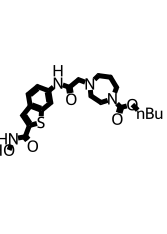 CCCCOC(=O)N1CCCN(CC(=O)Nc2ccc3cc(C(=O)NO)sc3c2)CC1